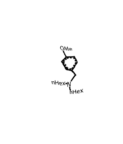 CCCCCCN(CCCCCC)Cc1ccc(OC)cc1